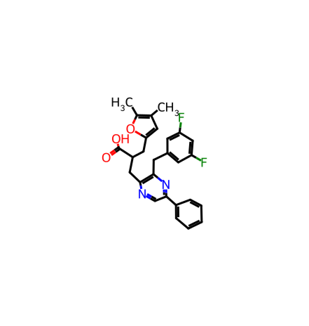 Cc1cc(CC(Cc2ncc(-c3ccccc3)nc2Cc2cc(F)cc(F)c2)C(=O)O)oc1C